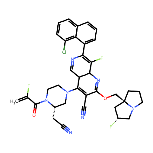 C=C(F)C(=O)N1CCN(C2=C(C#N)C(OC[C@@]34CCCN3C[C@H](F)C4)=NC3C(F)=C(c4cccc5cccc(Cl)c45)N=CC23)C[C@@H]1CC#N